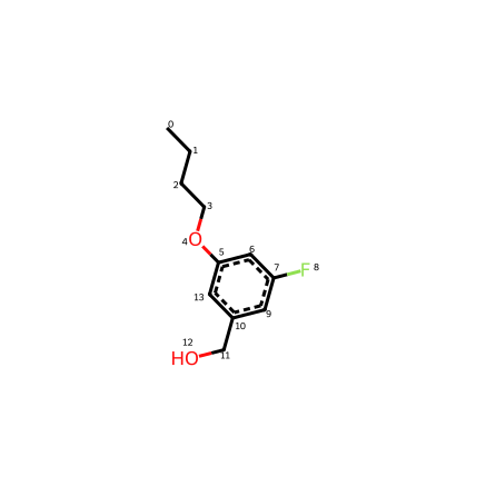 CCCCOc1cc(F)cc(CO)c1